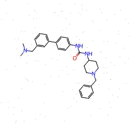 CN(C)Cc1cccc(-c2ccc(NC(=O)NC3CCN(Cc4ccccc4)CC3)cc2)c1